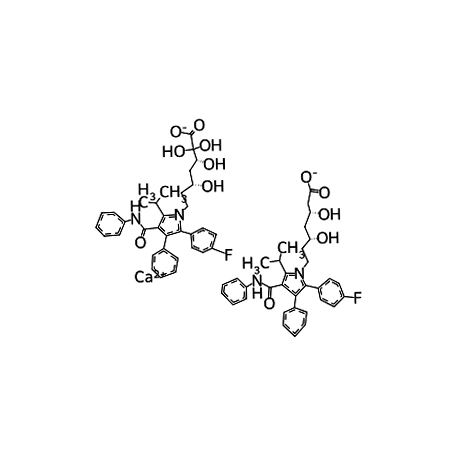 CC(C)c1c(C(=O)Nc2ccccc2)c(-c2ccccc2)c(-c2ccc(F)cc2)n1CC[C@@H](O)C[C@@H](O)C(O)(O)C(=O)[O-].CC(C)c1c(C(=O)Nc2ccccc2)c(-c2ccccc2)c(-c2ccc(F)cc2)n1CC[C@@H](O)C[C@@H](O)CC(=O)[O-].[Ca+2]